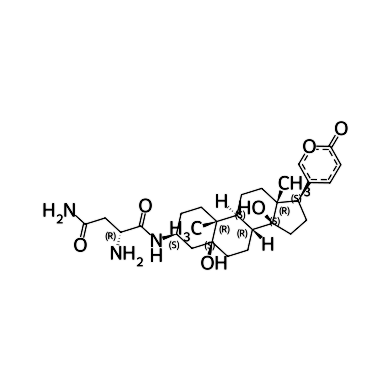 C[C@]12CC[C@H](NC(=O)[C@H](N)CC(N)=O)C[C@@]1(O)CC[C@@H]1[C@@H]2CC[C@]2(C)[C@@H](c3ccc(=O)oc3)CC[C@]12O